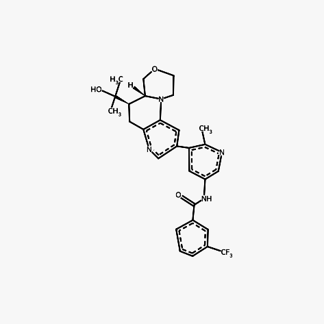 Cc1ncc(NC(=O)c2cccc(C(F)(F)F)c2)cc1-c1cnc2c(c1)N1CCOC[C@H]1[C@H](C(C)(C)O)C2